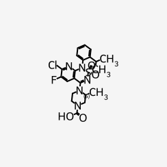 CC(C)c1ccccc1N1c2nc(Cl)c(F)cc2C(N2CCN(C(=O)O)C[C@@H]2C)=NS1(=O)=O